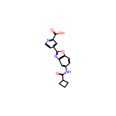 O=C(O)c1cc(-c2nc3cc(NC(=O)C4CCC4)ccc3o2)ccn1